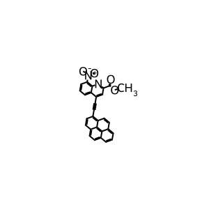 COC(=O)c1cc(C#Cc2ccc3ccc4cccc5ccc2c3c45)c2cccc([N+](=O)[O-])c2n1